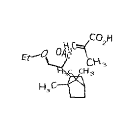 C=C(C)C(=O)O.CCOCC(OC(C)=O)C1CC2CCC1(C)C2(C)C